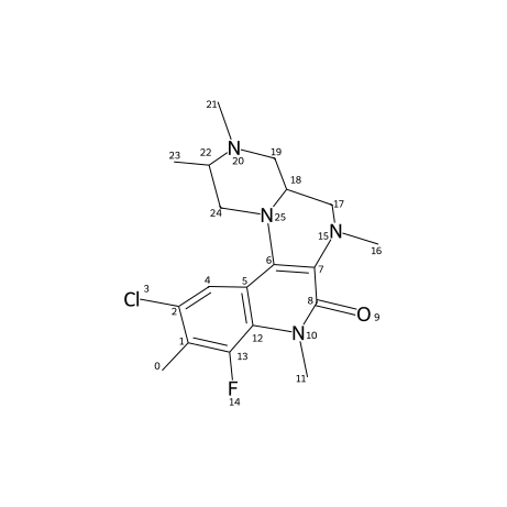 Cc1c(Cl)cc2c3c(c(=O)n(C)c2c1F)N(C)CC1CN(C)C(C)CN31